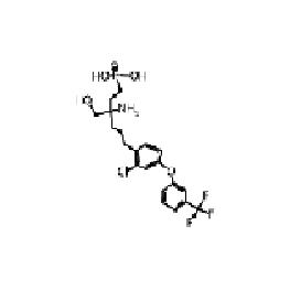 NC(CO)(CCCc1ccc(Oc2cccc(C(F)(F)F)c2)cc1Cl)CCP(=O)(O)O